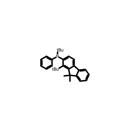 CC(C)(C)c1c(N(c2ccccc2)C(C)(C)C)ccc2c1C(C)(C)c1ccccc1-2